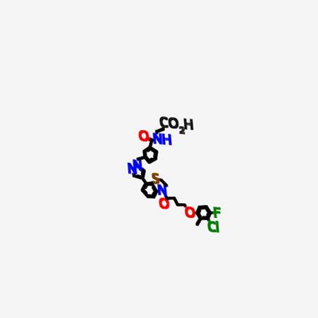 Cc1c(OCCCC(=O)N2CCSc3c(-c4cnn(Cc5cccc(C(=O)NCCC(=O)O)c5)c4)cccc32)ccc(F)c1Cl